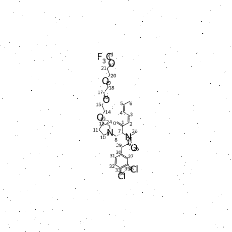 C=C(/C=C\C=C/C)[C@@H](CN1CC[C@H](OCCOCCOCCOC(F)(F)F)C1)N(C)C(=O)Cc1ccc(Cl)c(Cl)c1